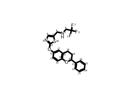 FC(F)(F)CNCc1cnc(Oc2ccc3c(c2)CCC(c2ccccc2)O3)s1